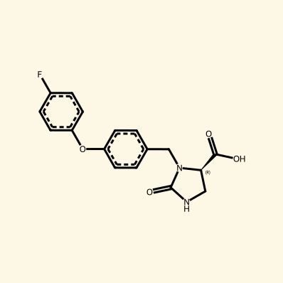 O=C(O)[C@H]1CNC(=O)N1Cc1ccc(Oc2ccc(F)cc2)cc1